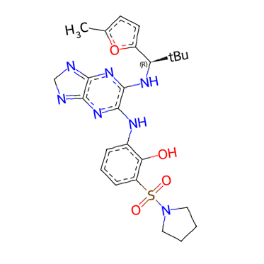 Cc1ccc([C@H](Nc2nc3c(nc2Nc2cccc(S(=O)(=O)N4CCCC4)c2O)=NCN=3)C(C)(C)C)o1